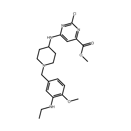 CCNc1cc(CN2CCC(Nc3cc(C(=O)OC)nc(Cl)n3)CC2)ccc1OC